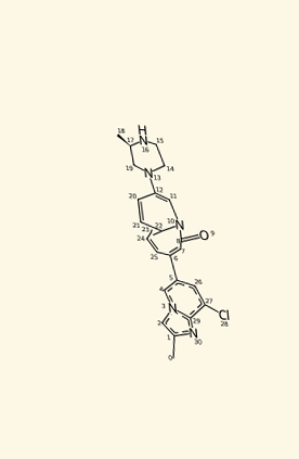 Cc1cn2cc(C3=C\C(=O)N4C=C(N5CCN[C@H](C)C5)C=C\C4=C/C=C/3)cc(Cl)c2n1